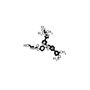 CCC(C)(C)n1cc(-c2ccnc(N(CC34CCC(c5ccc(OC)c(C)c5)(CC3)CC4)C(=O)[C@H]3CC[C@H](OC(=O)NCCCO)CC3)c2)cn1